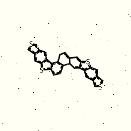 C1=C2C=c3sc4cc5cscc5cc4c3=CC2c2ccc3sc4cc5cscc5cc4c3c2C1